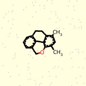 Cc1cc(C)c2c3c1CCc1cccc(c1-3)CO2